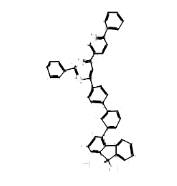 CC1(C)c2ccccc2-c2c(-c3cccc(-c4ccc(-c5cc(-c6ccc(-c7ccccc7)nc6)nc(-c6ccccc6)n5)cc4)c3)cccc21